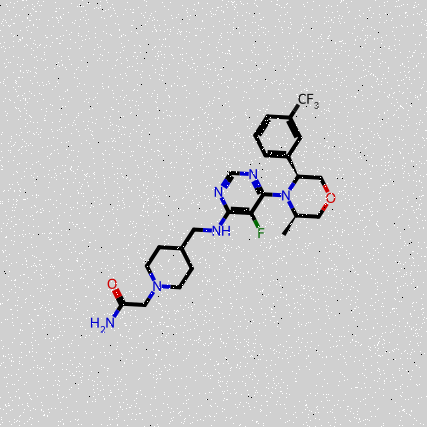 C[C@@H]1COC[C@H](c2cccc(C(F)(F)F)c2)N1c1ncnc(NCC2CCN(CC(N)=O)CC2)c1F